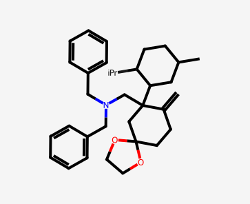 C=C1CCC2(CC1(CN(Cc1ccccc1)Cc1ccccc1)C1CC(C)CCC1C(C)C)OCCO2